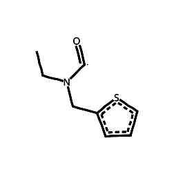 CCN([C]=O)Cc1cccs1